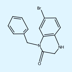 O=C1CNc2ccc(Br)cc2N1Cc1ccccc1